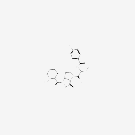 CC(=O)N1CCCCC1C(=O)N1CC(=O)C2C1CCN2C(=O)C(CC(C)C)NC(=O)c1ccc(N)cc1